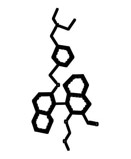 CCN(CC)Cc1cccc(COc2ccc3ccccc3c2-c2c(OCOC)c(C=O)cc3ccccc23)c1